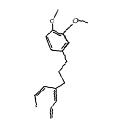 C=C/C=C(\C=C/C)CCCc1ccc(OC)c(OC)c1